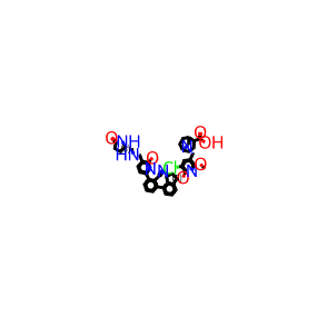 COc1nc(-c2cccc(-c3cccc4c3CC[C@@H]4Oc3nc(OC)c(CN4CC5CCC4CCC5C(=O)O)cc3Cl)c2C#N)ccc1CNC[C@@H]1CCC(=O)N1